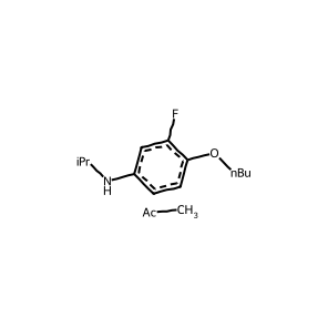 CC(C)=O.CCCCOc1ccc(NC(C)C)cc1F